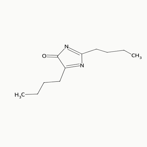 CCCCC1=NC(=O)C(CCCC)=N1